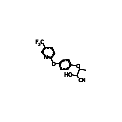 CC(Oc1ccc(Oc2ccc(C(F)(F)F)cn2)cc1)C(O)C#N